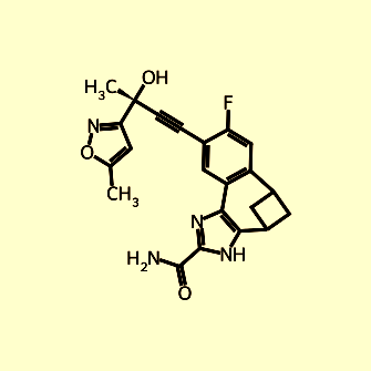 Cc1cc([C@](C)(O)C#Cc2cc3c(cc2F)C2CC(C2)c2[nH]c(C(N)=O)nc2-3)no1